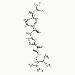 COC(=O)Nc1ccc(C(=O)Nc2nc(C(=O)NCCN(C(C)C)C(C)C)cs2)cc1